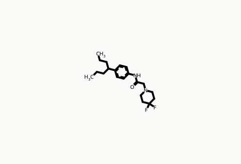 CCCC(CCC)c1ccc(NC(=O)CN2CCC(F)(F)CC2)cc1